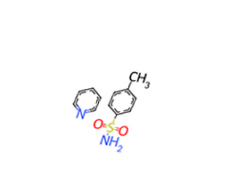 Cc1ccc(S(N)(=O)=O)cc1.c1ccncc1